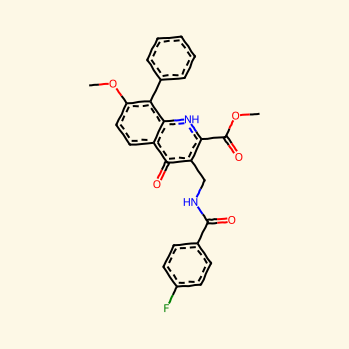 COC(=O)c1[nH]c2c(-c3ccccc3)c(OC)ccc2c(=O)c1CNC(=O)c1ccc(F)cc1